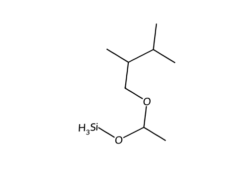 CC(O[SiH3])OCC(C)C(C)C